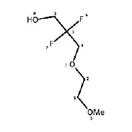 COCCOCC(F)(F)CO